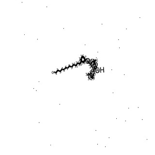 CCCCCCCCCCCCCCc1cccc(OCC(COP(O)OCC(C)[N+](C)(C)C)OC(C)=O)c1